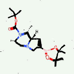 C[C@@H]1[C@@H]2C=C(B3OC(C)(C)C(C)(C)O3)CN2C[C@H](C)N1C(=O)OC(C)(C)C